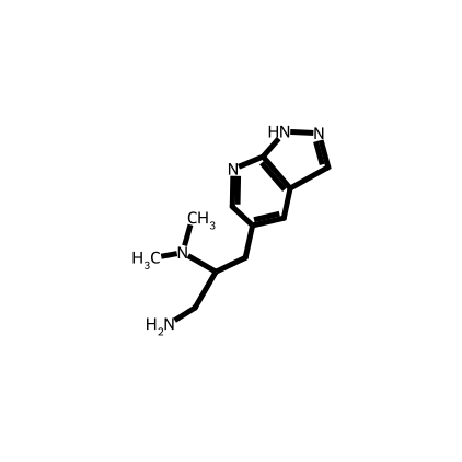 CN(C)C(CN)Cc1cnc2[nH]ncc2c1